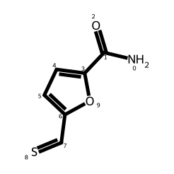 NC(=O)c1ccc(C=S)o1